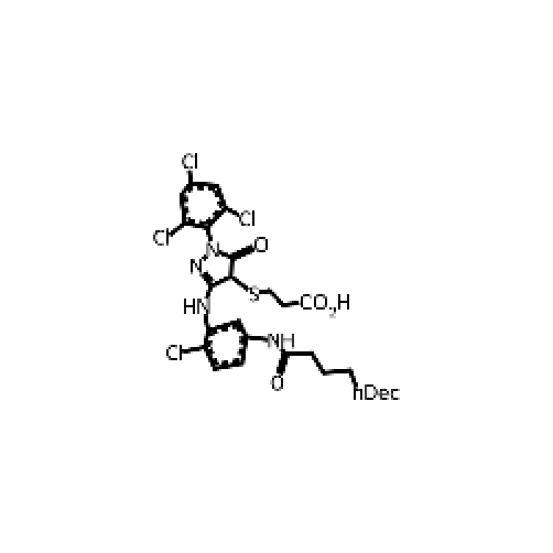 CCCCCCCCCCCCCC(=O)Nc1ccc(Cl)c(NC2=NN(c3c(Cl)cc(Cl)cc3Cl)C(=O)C2SCCC(=O)O)c1